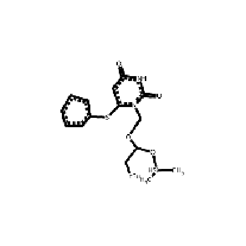 C[SiH](C)OC(CC(C)(C)C)OCn1c(Sc2ccccc2)cc(=O)[nH]c1=O